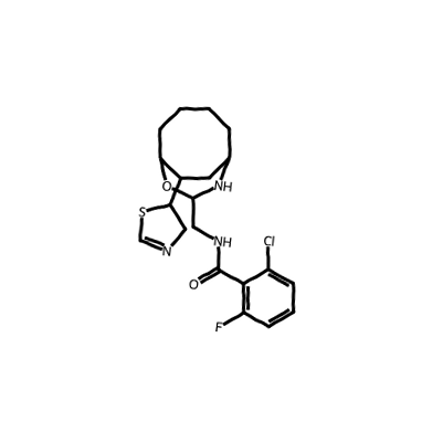 O=C(NCC1NC2CCCCC(O1)C(C1CN=CS1)C2)c1c(F)cccc1Cl